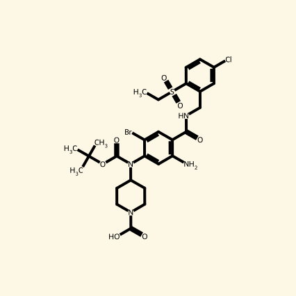 CCS(=O)(=O)c1ccc(Cl)cc1CNC(=O)c1cc(Br)c(N(C(=O)OC(C)(C)C)C2CCN(C(=O)O)CC2)cc1N